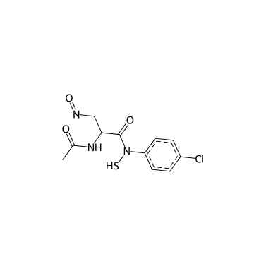 CC(=O)NC(CN=O)C(=O)N(S)c1ccc(Cl)cc1